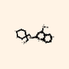 COc1cc(NCC2(CN)CCCCC2)nc2ccccc12